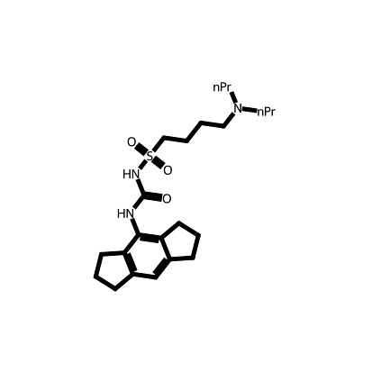 CCCN(CCC)CCCCS(=O)(=O)NC(=O)Nc1c2c(cc3c1CCC3)CCC2